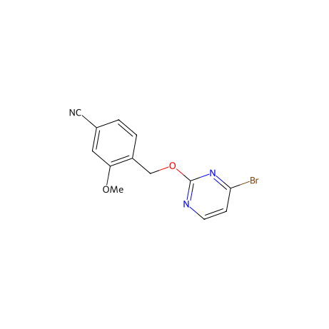 COc1cc(C#N)ccc1COc1nccc(Br)n1